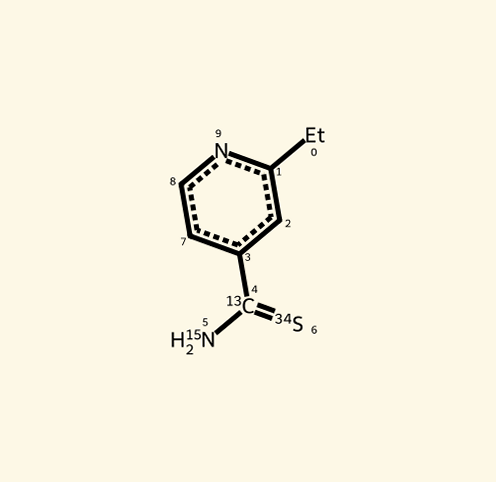 CCc1cc([13C]([15NH2])=[34S])ccn1